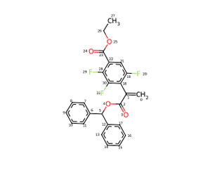 C=C(C(=O)OC(c1ccccc1)c1ccccc1)c1c(F)cc(C(=O)OCC)c(F)c1F